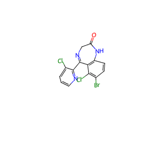 O=C1CN=C(c2ncccc2Cl)c2c(ccc(Br)c2Cl)N1